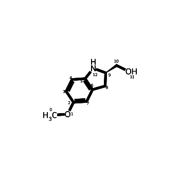 COc1ccc2c(c1)C[C@H](CO)N2